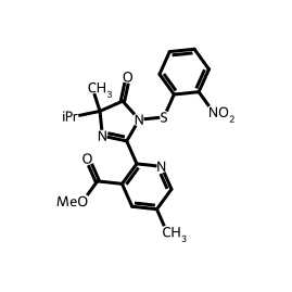 COC(=O)c1cc(C)cnc1C1=NC(C)(C(C)C)C(=O)N1Sc1ccccc1[N+](=O)[O-]